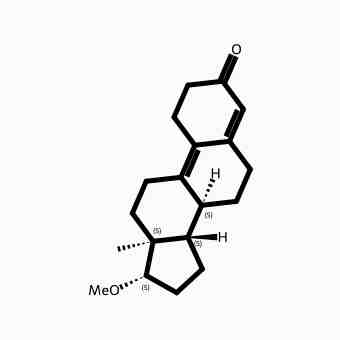 CO[C@H]1CC[C@H]2[C@@H]3CCC4=CC(=O)CCC4=C3CC[C@]12C